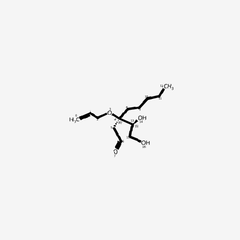 C=CCO[C@@](CC=O)(CCCCC)[C@@H](O)CO